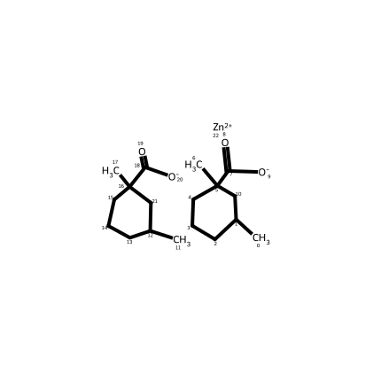 CC1CCCC(C)(C(=O)[O-])C1.CC1CCCC(C)(C(=O)[O-])C1.[Zn+2]